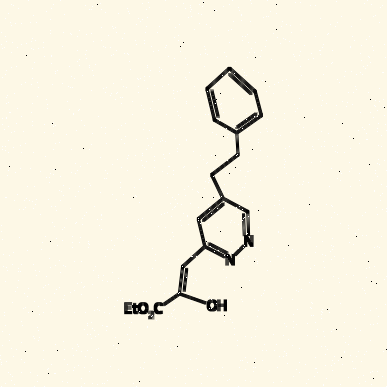 CCOC(=O)/C(O)=C/c1cc(CCc2ccccc2)cnn1